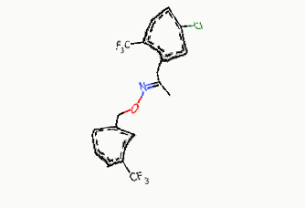 C/C(=N\OCc1cccc(C(F)(F)F)c1)c1cc(Cl)ccc1C(F)(F)F